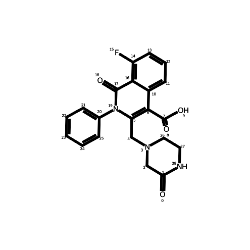 O=C1CN(Cc2c(C(=O)O)c3cccc(F)c3c(=O)n2-c2ccccc2)CCN1